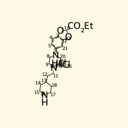 CCOC(=O)C1Oc2ccc(N3CCN(CCC4CCNCC4)CC3)cc2O1.Cl.Cl